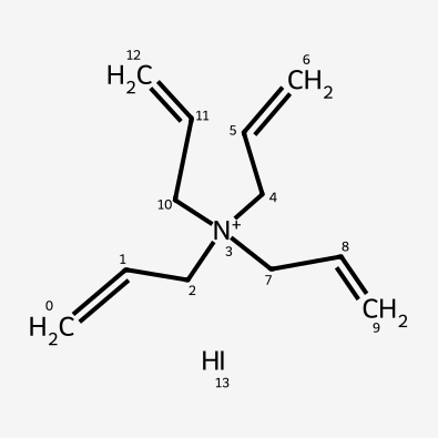 C=CC[N+](CC=C)(CC=C)CC=C.I